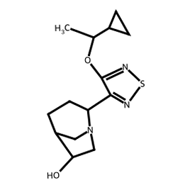 CC(Oc1nsnc1C1CCC2CN1CC2O)C1CC1